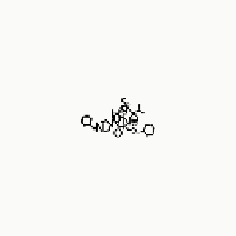 CC(C)C(=O)N1CSC[C@H]1C(=O)N[C@@H](CSCC1CCCCC1)C(=O)NC1CCN(Cc2ccccc2)CC1